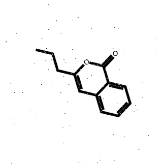 [CH2]CCc1cc2ccccc2c(=O)o1